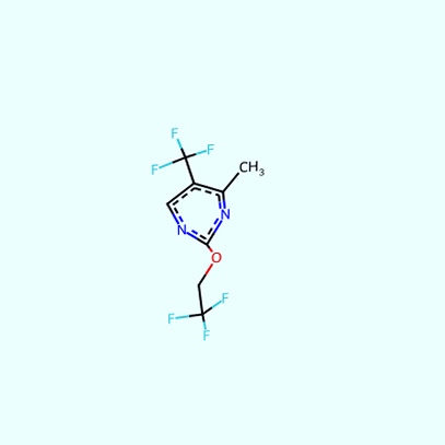 Cc1nc(OCC(F)(F)F)ncc1C(F)(F)F